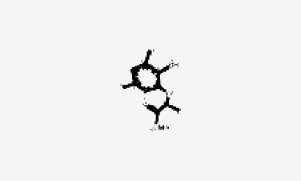 COC(=O)C(C)Oc1cc(C)cc(C)c1O